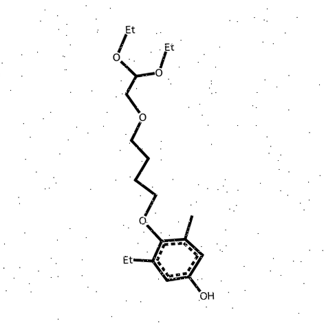 CCOC(COCCCCOc1c(C)cc(O)cc1CC)OCC